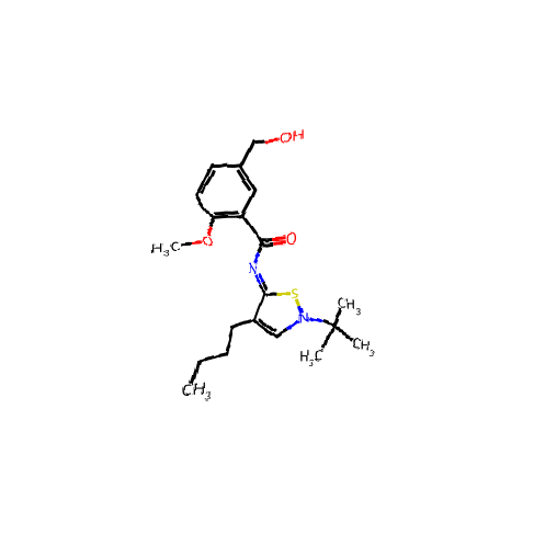 CCCCc1cn(C(C)(C)C)s/c1=N\C(=O)c1cc(CO)ccc1OC